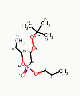 CCCOP(=O)(CCOOC(C)(C)C)OCCC